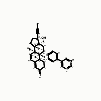 CC#C[C@]1(O)CC[C@H]2[C@@H]3C=CC4=CC(=O)CC[C@@H]4[C@H]3[C@@H](c3ccc(-c4cncnc4)cc3)C[C@@]21C